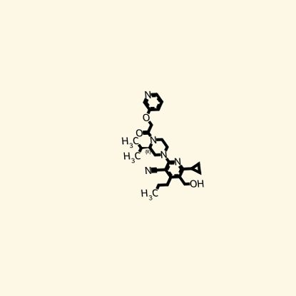 CCCc1c(C#N)c(N2CCN(C(=O)COc3cccnc3)[C@H](C(C)C)C2)nc(C2CC2)c1CO